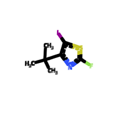 CC(C)(C)c1nc(F)sc1I